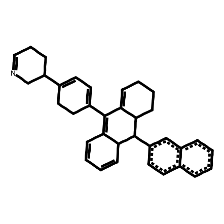 C1=CC2=C(C3=CC=C(C4CCC=NC4)CC3)C3=CCCCC3C(c3ccc4ccccc4c3)C2C=C1